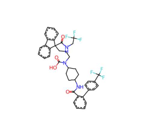 O=C(NC1CCC(N(CCCC2(C(=O)NCC(F)(F)F)c3ccccc3-c3ccccc32)C(=O)O)CC1)c1ccccc1-c1ccc(C(F)(F)F)cc1